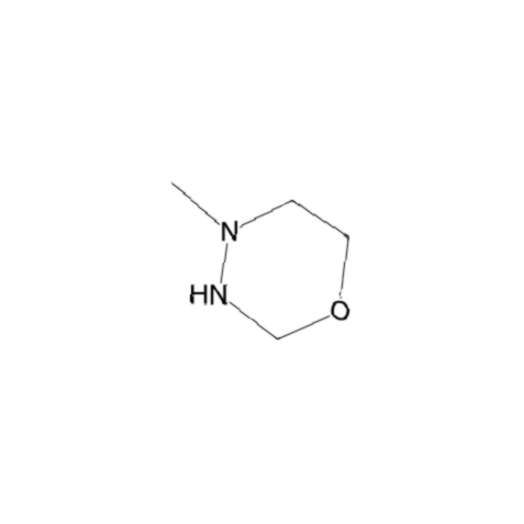 CN1CCOCN1